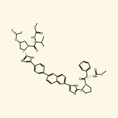 COC(=O)N[C@H](C(=O)N1CCC[C@H]1c1ncc(-c2ccc3cc(-c4ccc(-c5cnc([C@@H]6CC(OC(F)F)CN6C(=O)[C@@H](NC(=O)OC)C(C)C)[nH]5)cc4)ccc3c2)[nH]1)c1ccccc1